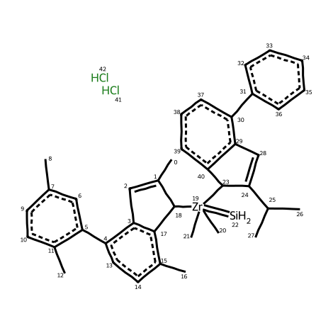 CC1=Cc2c(-c3cc(C)ccc3C)ccc(C)c2[CH]1[Zr]([CH3])([CH3])(=[SiH2])[CH]1C(C(C)C)=Cc2c(-c3ccccc3)cccc21.Cl.Cl